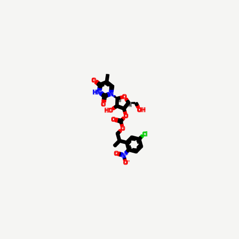 Cc1cn([C@@H]2O[C@H](CO)C(OC(=O)OCC(C)c3cc(Cl)ccc3[N+](=O)[O-])C2O)c(=O)[nH]c1=O